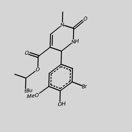 COc1cc(C2NC(=O)N(C)C=C2C(=O)OC(C)C(C)(C)C)cc(Br)c1O